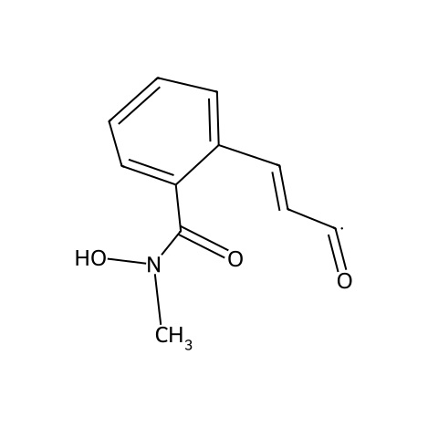 CN(O)C(=O)c1ccccc1C=C[C]=O